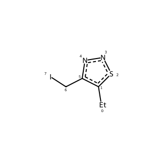 [CH2]Cc1snnc1CI